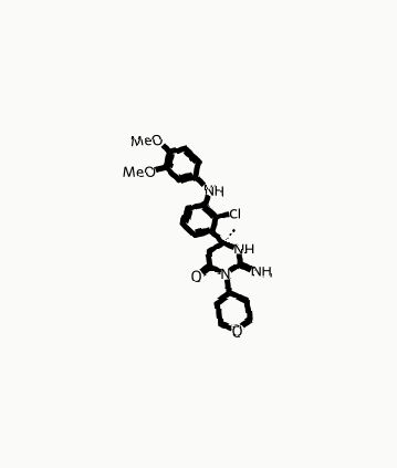 COc1ccc(Nc2cccc([C@]3(C)CC(=O)N(C4CCOCC4)C(=N)N3)c2Cl)cc1OC